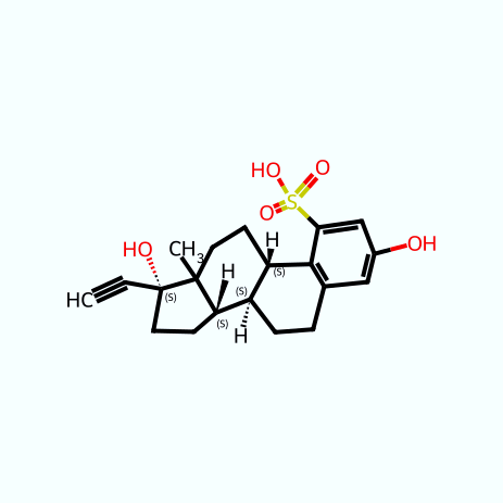 C#C[C@]1(O)CC[C@H]2[C@@H]3CCc4cc(O)cc(S(=O)(=O)O)c4[C@H]3CCC21C